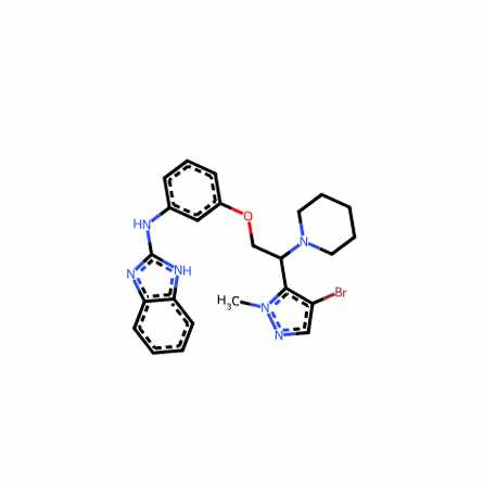 Cn1ncc(Br)c1C(COc1cccc(Nc2nc3ccccc3[nH]2)c1)N1CCCCC1